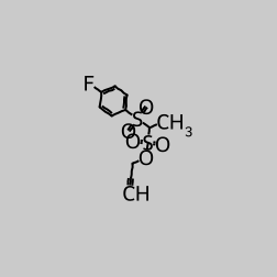 C#CCOS(=O)(=O)C(C)S(=O)(=O)c1ccc(F)cc1